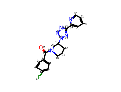 O=C(c1ccc(F)cc1)N1CCCC(n2nnc(-c3ccccn3)n2)C1